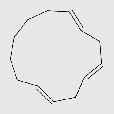 C1=C/C/C=C/CCCCC/C=C/C/1